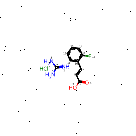 Cl.N=C(N)N.O=C(O)/C=C/c1ccccc1F